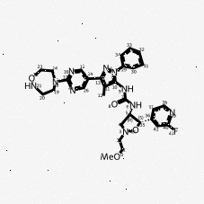 COCCN1C[C@@H](NC(=O)Nc2c(C)c(-c3cnc(N4CCNOCC4)nc3)nn2-c2ccccc2)[C@H](c2ccnc(F)c2)O1